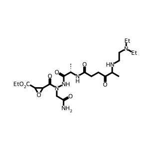 CCOC(=O)C1OC1C(=O)N(CC(N)=O)NC(=O)[C@H](C)NC(=O)CCC(=O)C(C)NCCN(CC)CC